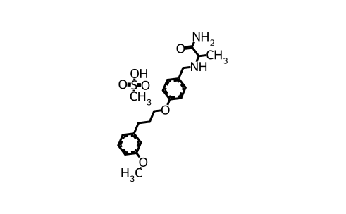 COc1cccc(CCCOc2ccc(CNC(C)C(N)=O)cc2)c1.CS(=O)(=O)O